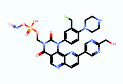 B=NOP(=O)(O)OCn1c(=O)c2cnc3ccc(-c4cnc(CO)nc4)nc3c2n(-c2ccc(N3CCNCC3)c(CF)c2)c1=O